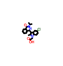 Cc1c(-c2nn(C(C)C)c(=O)c3ccccc23)c2cc(Cl)ccc2n1CC(=O)O